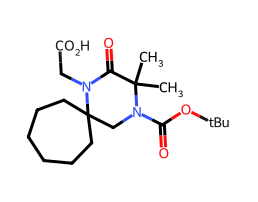 CC(C)(C)OC(=O)N1CC2(CCCCCC2)N(CC(=O)O)C(=O)C1(C)C